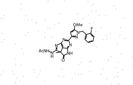 COc1cc(-c2nc3c4c(n2)NC(=O)C4(C)C(NNC(C)=O)=N3)nn1Cc1ccccc1F